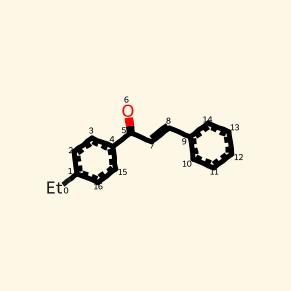 CCc1ccc(C(=O)/C=C/c2ccccc2)cc1